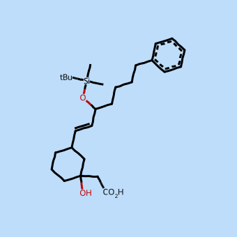 CC(C)(C)[Si](C)(C)OC(C=CC1CCCC(O)(CC(=O)O)C1)CCCCc1ccccc1